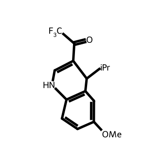 COc1ccc2c(c1)C(C(C)C)C(C(=O)C(F)(F)F)=CN2